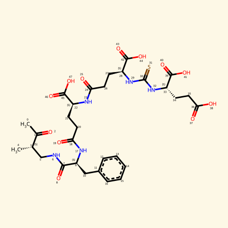 CC(=O)[C@@H](C)CNC(=O)[C@H](Cc1ccccc1)NC(=O)CC[C@H](NC(=O)CC[C@H](NC(=S)N[C@@H](CCC(=O)O)C(=O)O)C(=O)O)C(=O)O